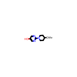 COC1CCN(c2ncc(O)cn2)CC1